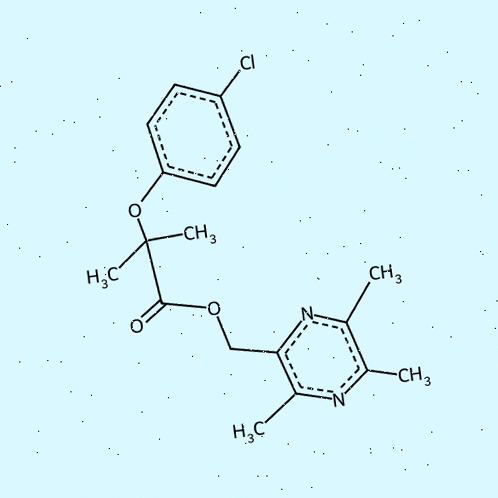 Cc1nc(C)c(COC(=O)C(C)(C)Oc2ccc(Cl)cc2)nc1C